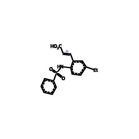 CCc1ccc(NS(=O)(=O)c2ccccc2)c(/C=C/C(=O)O)c1